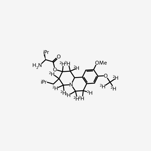 [2H]C([2H])([2H])Oc1cc2c(cc1OC)C1N(C([2H])([2H])C2([2H])[2H])C([2H])([2H])C([2H])(CC(C)C)C([2H])(OC(=O)[C@@H](N)C(C)C)C1([2H])[2H]